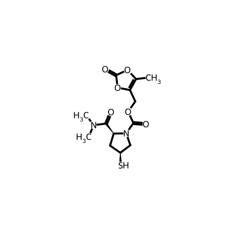 Cc1oc(=O)oc1COC(=O)N1C[C@@H](S)C[C@H]1C(=O)N(C)C